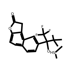 C[SiH](C)OC(c1ccc2ccc3c(c2c1)CC(=O)O3)(C(C)(C)C)C(F)(F)F